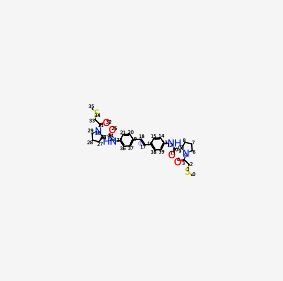 CSCC(=O)N1CCC[C@H]1C(=O)Nc1ccc(/C=C/c2ccc(NC(=O)[C@@H]3CCCN3C(=O)CSC)cc2)cc1